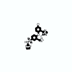 Cn1ncnc1-c1cc(Cl)ccc1Oc1ccc(S(=O)(=O)Nc2nccs2)cc1C#N